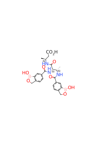 C[C@H](NC(=O)c1ccc2c(c1)B(O)OC2)[C@H](NC(=O)c1ccc2c(c1)B(O)OC2)C(=O)N[C@@H](C)CC(=O)O